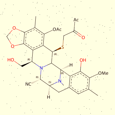 COc1c(C)cc2c(c1O)[C@@H]1C3[C@H](SCC(=O)C(C)=O)c4c(OC(C)=O)c(C)c5c(c4[C@H](CO)N3[C@@H](C#N)[C@H](C2)N1C)OCO5